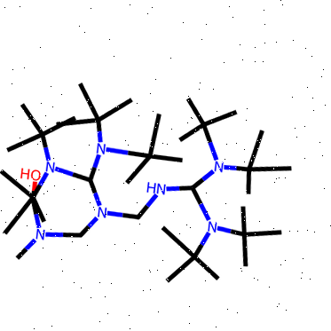 CN(CO)CN(CNC(N(C(C)(C)C)C(C)(C)C)N(C(C)(C)C)C(C)(C)C)C(N(C(C)(C)C)C(C)(C)C)N(C(C)(C)C)C(C)(C)C